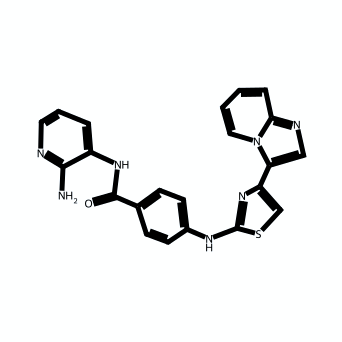 Nc1ncccc1NC(=O)c1ccc(Nc2nc(-c3cnc4ccccn34)cs2)cc1